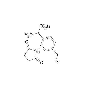 CC(C)Cc1ccc(C(C)C(=O)O)cc1.O=C1CCC(=O)N1